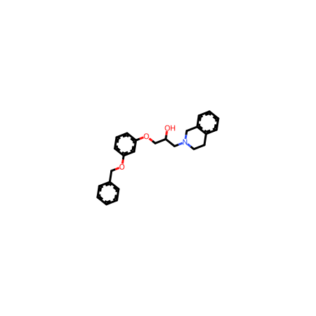 OC(COc1cccc(OCc2ccccc2)c1)CN1CCc2ccccc2C1